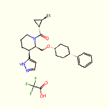 CC[C@@H]1C[C@H]1C(=O)N1CCC[C@H](c2ccn[nH]2)[C@@H]1CO[C@H]1CC[C@@H](c2ccccc2)CC1.O=C(O)C(F)(F)F